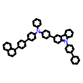 c1ccc(-c2ccc(-n3c4ccccc4c4cc(-c5ccc(N(c6ccccc6)c6ccc(-c7ccc(-c8cccc9ccccc89)cc7)cc6)cc5)ccc43)cc2)cc1